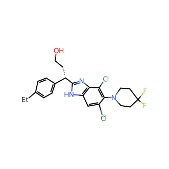 CCc1ccc([C@H](CCO)c2nc3c(Cl)c(N4CCC(F)(F)CC4)c(Cl)cc3[nH]2)cc1